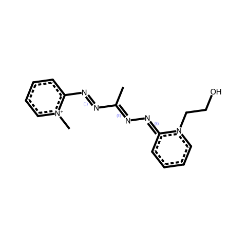 CC(/N=N/c1cccc[n+]1C)=N\N=c1/ccccn1CCO